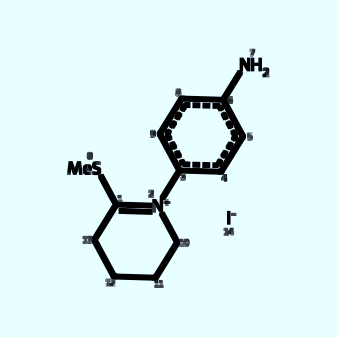 CSC1=[N+](c2ccc(N)cc2)CCCC1.[I-]